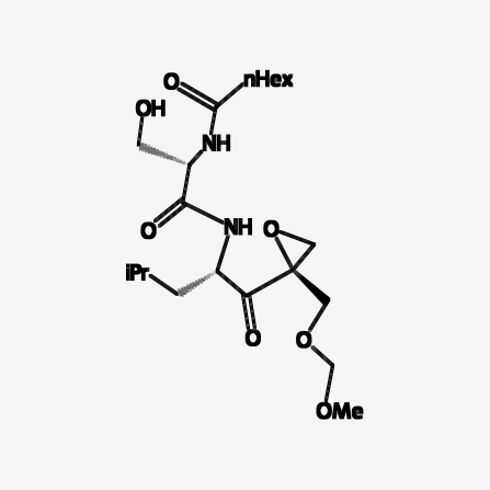 CCCCCCC(=O)N[C@@H](CO)C(=O)N[C@@H](CC(C)C)C(=O)[C@@]1(COCOC)CO1